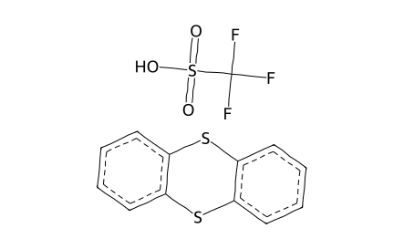 O=S(=O)(O)C(F)(F)F.c1ccc2c(c1)Sc1ccccc1S2